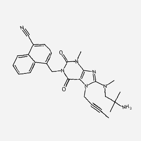 CC#CCn1c(N(C)CC(C)(C)N)nc2c1c(=O)n(Cc1ccc(C#N)c3ccccc13)c(=O)n2C